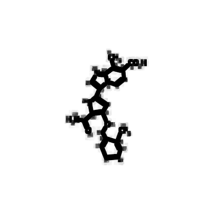 Cc1c(C(=O)O)ccn2c(-c3cc(OCc4ccccc4C(F)(F)F)c(C(N)=O)s3)cnc12